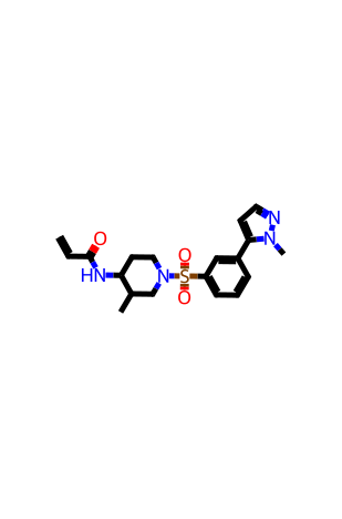 C=CC(=O)NC1CCN(S(=O)(=O)c2cccc(-c3ccnn3C)c2)CC1C